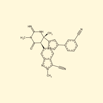 CN1C(=N)N[C@](C)(c2cc(-c3cccc(C#N)c3)cs2)[C@@H](c2ccc3c(C#N)n(C)nc3c2)C1=O